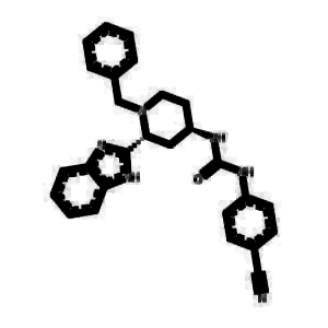 N#Cc1ccc(NC(=O)N[C@@H]2CCN(Cc3ccccc3)[C@@H](c3nc4ccccc4[nH]3)C2)cc1